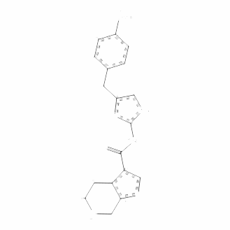 COc1ccc(Cc2cnc(NC(=O)c3csc4c3CCOC4)s2)cc1